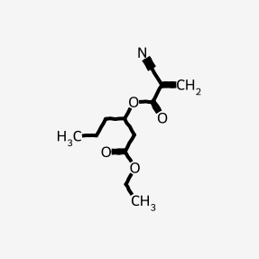 C=C(C#N)C(=O)OC(CCC)CC(=O)OCC